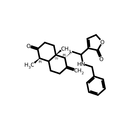 C=C1CCC2[C@@H](C)C(=O)CC[C@]2(C)[C@@H]1CC(NCc1ccccc1)C1=CCOC1=O